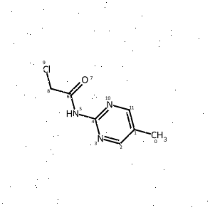 Cc1cnc(NC(=O)CCl)nc1